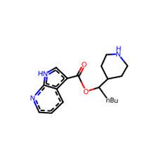 CCCCC(OC(=O)c1c[nH]c2ncccc12)C1CCNCC1